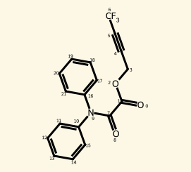 O=C(OCC#CC(F)(F)F)C(=O)N(c1ccccc1)c1ccccc1